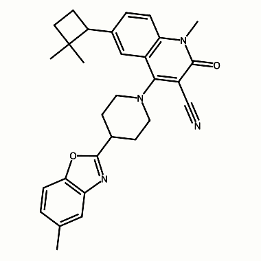 Cc1ccc2oc(C3CCN(c4c(C#N)c(=O)n(C)c5ccc(C6CCC6(C)C)cc45)CC3)nc2c1